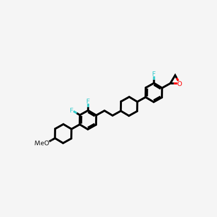 COC1CCC(c2ccc(CCC3CCC(c4ccc(C5CO5)c(F)c4)CC3)c(F)c2F)CC1